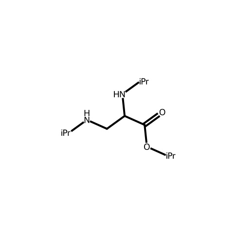 CC(C)NCC(NC(C)C)C(=O)OC(C)C